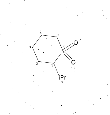 CC(C)C1CCCCS1(=O)=O